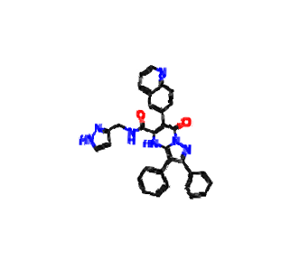 O=C(NCc1cc[nH]n1)c1[nH]c2c(-c3ccccc3)c(-c3ccccc3)nn2c(=O)c1-c1ccc2ncccc2c1